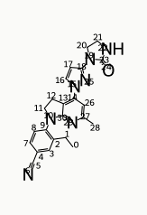 CCc1cc(C#N)ccc1N1CCc2c(-n3ccc(N4CCNC4=O)n3)cc(C)nc21